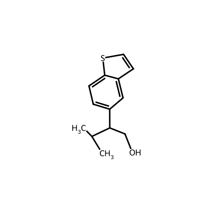 CC(C)C(CO)c1ccc2sccc2c1